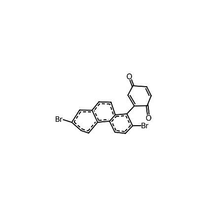 O=C1C=CC(=O)C(c2c(Br)ccc3c2ccc2cc(Br)ccc23)=C1